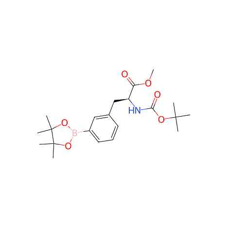 COC(=O)[C@H](Cc1cccc(B2OC(C)(C)C(C)(C)O2)c1)NC(=O)OC(C)(C)C